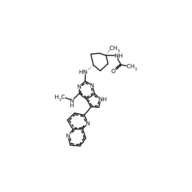 CNc1nc(N[C@H]2CC[C@](C)(NC(C)=O)CC2)nc2[nH]cc(-c3ccc4ncccc4n3)c12